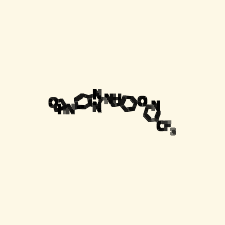 Cn1c(NCc2ccc(Oc3ccc(C(F)(F)F)cn3)cc2)nc2ccc(NC3COC3)cc21